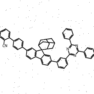 N#Cc1ccccc1-c1ccc(-c2ccc3c(c2)C2(c4cc(-c5cccc(-c6nc(-c7ccccc7)nc(-c7ccccc7)n6)c5)ccc4-3)C3CC4CC(C3)CC2C4)cc1